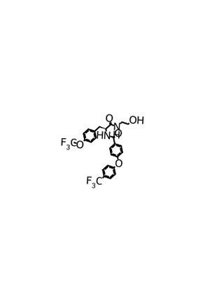 O=C(N[C@@H](Cc1ccc(OC(F)(F)F)cc1)C(=O)NCCO)c1ccc(Oc2ccc(C(F)(F)F)cc2)cc1